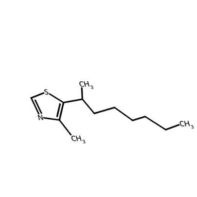 CCCCCCC(C)c1scnc1C